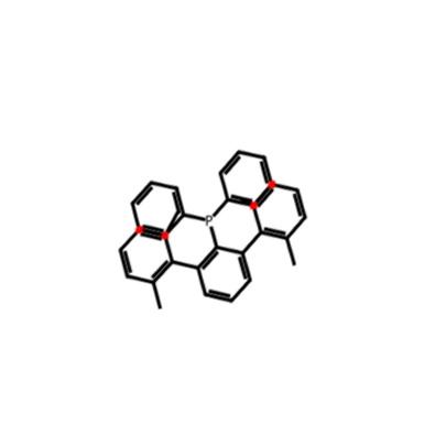 Cc1cccc(C)c1-c1cccc(-c2c(C)cccc2C)c1P(c1ccccc1)c1ccccc1